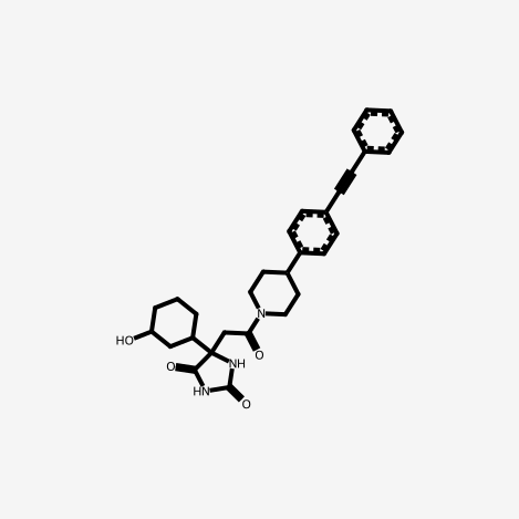 O=C1NC(=O)C(CC(=O)N2CCC(c3ccc(C#Cc4ccccc4)cc3)CC2)(C2CCCC(O)C2)N1